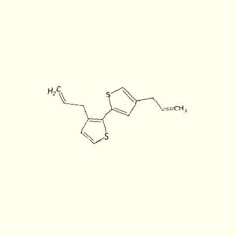 C=CCc1csc(-c2sccc2CC=C)c1